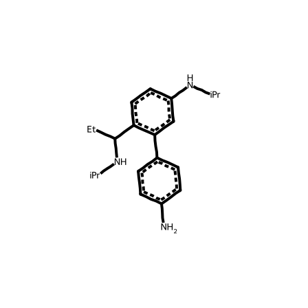 CCC(NC(C)C)c1ccc(NC(C)C)cc1-c1ccc(N)cc1